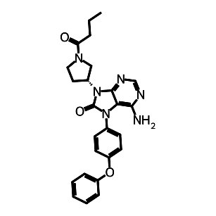 CCCC(=O)N1CC[C@@H](n2c(=O)n(-c3ccc(Oc4ccccc4)cc3)c3c(N)ncnc32)C1